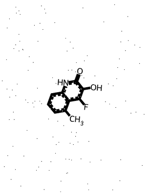 Cc1cccc2[nH]c(=O)c(O)c(F)c12